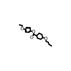 CCCCOC1CCC(C(=O)Oc2ccc(OCC)cc2)CC1